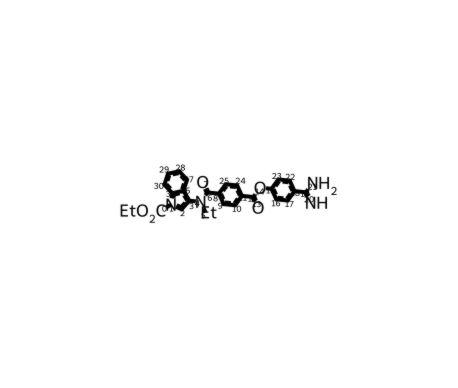 CCOC(=O)n1cc(N(CC)C(=O)c2ccc(C(=O)Oc3ccc(C(=N)N)cc3)cc2)c2ccccc21